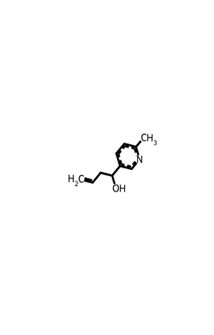 C=CCC(O)c1ccc(C)nc1